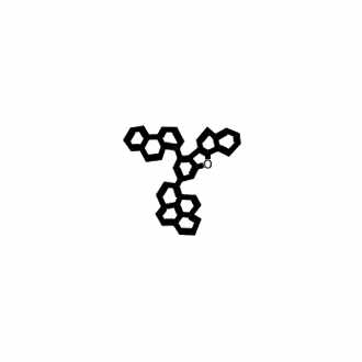 c1ccc2c(c1)ccc1c(-c3cc(-c4ccc5ccc6cccc7ccc4c5c67)cc4oc5c6ccccc6ccc5c34)cccc12